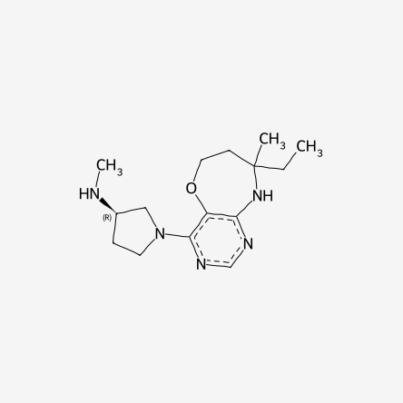 CCC1(C)CCOc2c(ncnc2N2CC[C@@H](NC)C2)N1